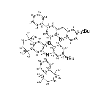 Cc1cc(C(C)(C)C)ccc1N1c2ccc(-c3ccccc3)cc2B2c3cc4c(cc3N(c3ccc5c(c3)C(C)(C)CCC5(C)C)c3cc(C(C)(C)C)cc1c32)C(C)(C)CCC4(C)C